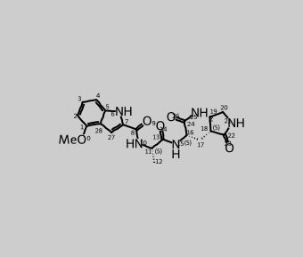 COc1cccc2[nH]c(C(=O)N[C@@H](C)C(=O)N[C@@H](C[C@@H]3CCNC3=O)C(N)=O)cc12